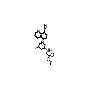 CCOC(=O)CNC1C[C@@H](C)CN(c2ccc(C#N)c3ncccc23)C1